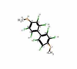 CSc1c(F)c(F)c(-c2c(F)c(F)c(SC)c(F)c2F)c(F)c1F